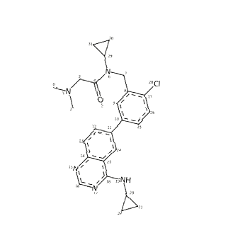 CN(C)CC(=O)N(Cc1cc(-c2ccc3ncnc(NC4CC4)c3c2)ccc1Cl)C1CC1